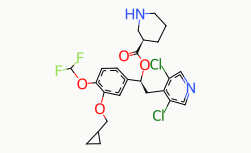 O=C(O[C@@H](Cc1c(Cl)cncc1Cl)c1ccc(OC(F)F)c(OCC2CC2)c1)[C@@H]1CCCNC1